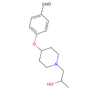 CC(O)CN1CCC(Oc2ccc(C=O)cc2)CC1